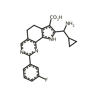 NC(c1[nH]c2c(c1C(=O)O)CCc1cnc(-c3cccc(F)c3)nc1-2)C1CC1